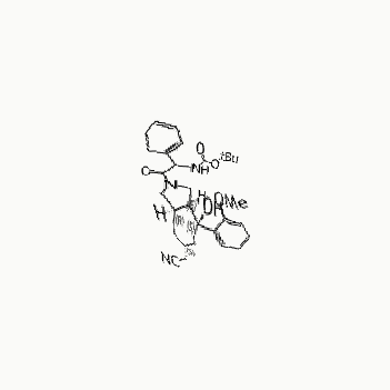 COc1ccccc1[C@]1(O)C[C@H](CC#N)C[C@H]2CN(C(=O)C(NC(=O)OC(C)(C)C)c3ccccc3)C[C@H]21